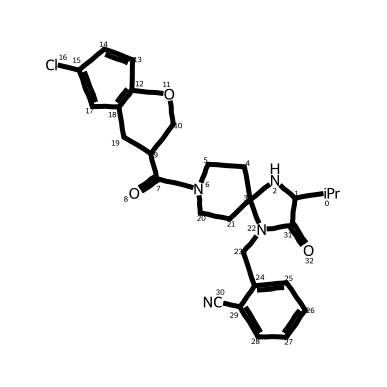 CC(C)C1NC2(CCN(C(=O)C3COc4ccc(Cl)cc4C3)CC2)N(Cc2ccccc2C#N)C1=O